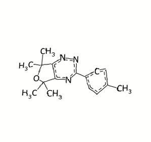 Cc1ccc(-c2nnc3c(n2)C(C)(C)OC3(C)C)cc1